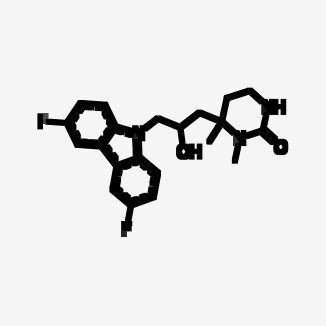 CN1C(=O)NCCC1(C)CC(O)Cn1c2ccc(F)cc2c2cc(F)ccc21